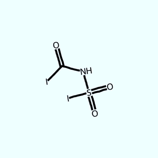 O=C(I)NS(=O)(=O)I